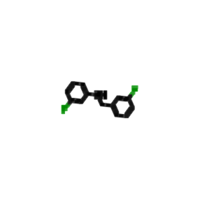 Fc1cccc(BCc2cccc(F)c2)c1